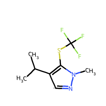 CC(C)c1[c]nn(C)c1SC(F)(F)F